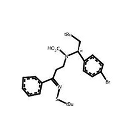 CC(C)(C)C[C@@H](c1ccc(Br)cc1)N(CCC(=NSC(C)(C)C)c1ccccc1)C(=O)O